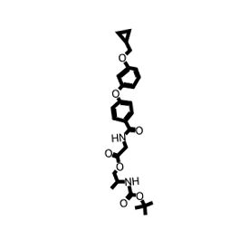 CC(COC(=O)CNC(=O)c1ccc(Oc2cccc(OCC3CC3)c2)cc1)NC(=O)OC(C)(C)C